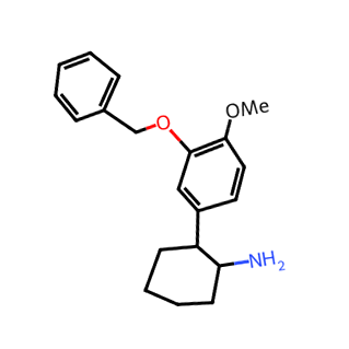 COc1ccc(C2CCCCC2N)cc1OCc1ccccc1